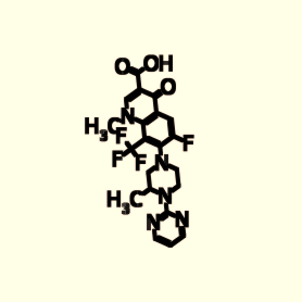 CC1CN(c2c(F)cc3c(=O)c(C(=O)O)cn(C)c3c2C(F)(F)F)CCN1c1ncccn1